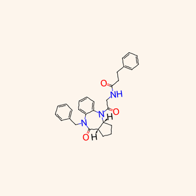 O=C(CCc1ccccc1)NCC(=O)N1c2ccccc2N(Cc2ccccc2)C(=O)[C@H]2CCC[C@H]21